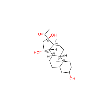 CC(=O)[C@@]1(O)C[C@@H](O)[C@H]2[C@@H]3CCC4CC(O)CC[C@]4(C)[C@H]3CC[C@@]21C